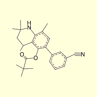 Cc1cc(-c2cccc(C#N)c2)c(OC(=O)C(C)(C)C)c2c1NC(C)(C)CC2C